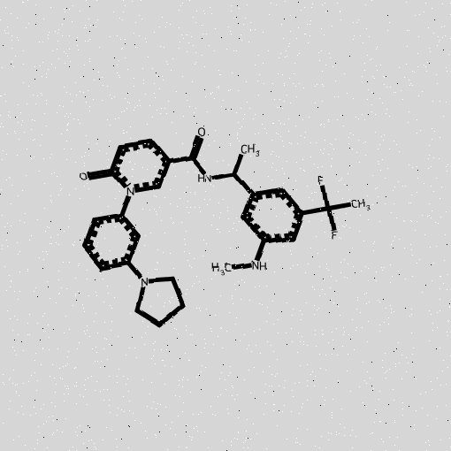 CNc1cc(C(C)NC(=O)c2ccc(=O)n(-c3cccc(N4CCCC4)c3)c2)cc(C(C)(F)F)c1